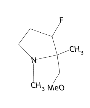 COCC1(C)C(F)CCN1C